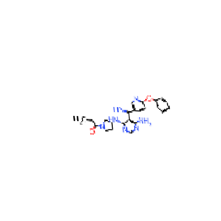 C=CC(=O)N1CC[C@@H](Nc2ncnc(N)c2C(=N)c2ccc(Oc3ccccc3)nc2)C1